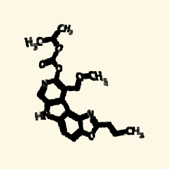 CCCc1nc2c(ccc3[nH]c4cnc(OC(=O)OC(C)C)c(COC)c4c32)o1